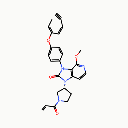 C#C/C=C\C(=C/C)Oc1ccc(-n2c(=O)n([C@@H]3CCN(C(=O)C=C)C3)c3ccnc(OC)c32)cc1